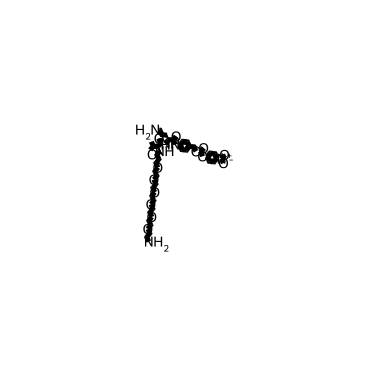 CC(C)[C@H](NC(=O)CCOCCOCCOCCOCCOCCOCCN)C(=O)N[C@@H](CCCN)C(=O)Nc1ccc(COC(=O)Oc2ccc([N+](=O)[O-])cc2)cc1